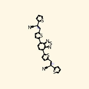 N#C/C(=C\c1ccc(-c2ccc(-c3ccc(/C=C(\C#N)c4cccs4)s3)c3nsnc23)s1)c1cccs1